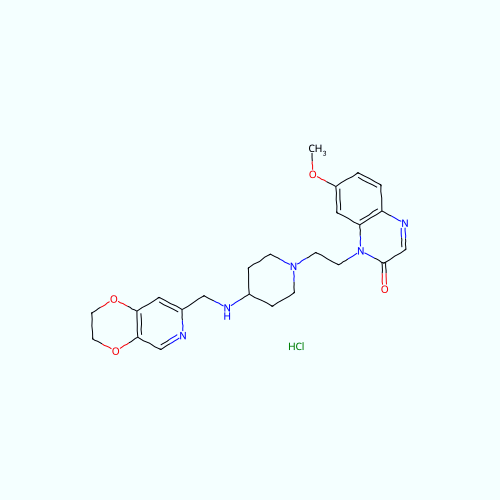 COc1ccc2ncc(=O)n(CCN3CCC(NCc4cc5c(cn4)OCCO5)CC3)c2c1.Cl